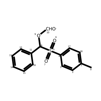 Cc1ccc(S(=O)(=O)C(O[C]=O)c2ccccc2)cc1